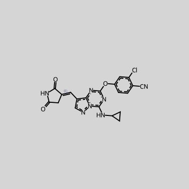 N#Cc1ccc(Oc2nc(NC3CC3)n3ncc(/C=C4\CC(=O)NC4=O)c3n2)cc1Cl